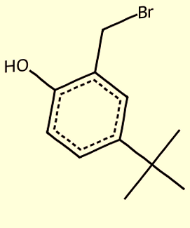 CC(C)(C)c1ccc(O)c(CBr)c1